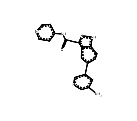 Nc1cncc(-c2ccc3[nH]nc(C(=O)Nc4ccncc4)c3c2)c1